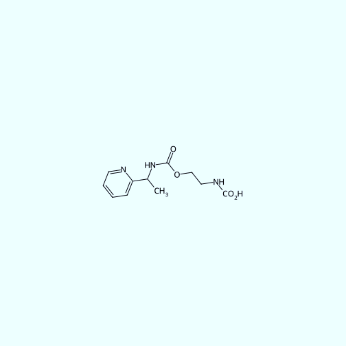 CC(NC(=O)OCCNC(=O)O)c1ccccn1